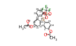 CC(=O)Oc1ccc(S(OS(=O)(=O)C(F)(F)F)(c2ccccc2)c2ccc(OC(C)=O)cc2)cc1